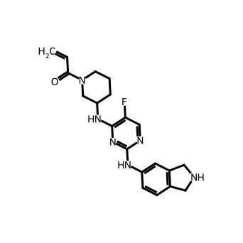 C=CC(=O)N1CCCC(Nc2nc(Nc3ccc4c(c3)CNC4)ncc2F)C1